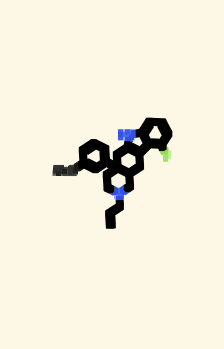 C=CCN1CCC2(c3cccc(OC)c3)Cc3[nH]c4cccc(F)c4c3CC2C1